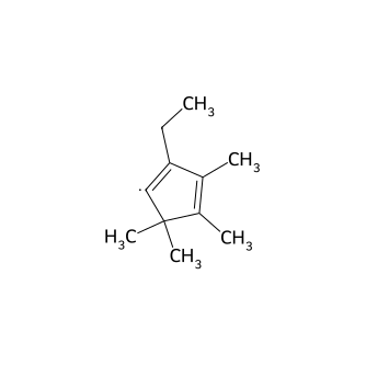 CCC1=[C]C(C)(C)C(C)=C1C